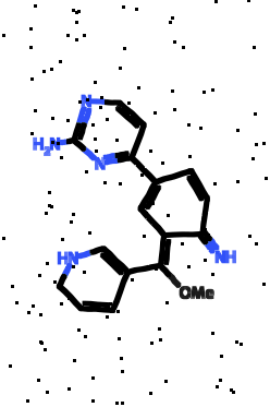 CO/C(C1=CNCC=C1)=C1/C=C(c2ccnc(N)n2)C=CC1=N